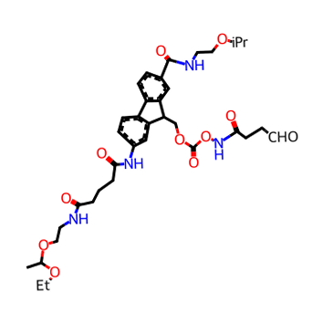 CCOC(C)OCCNC(=O)CCCC(=O)Nc1ccc2c(c1)C(COC(=O)ONC(=O)CCC=O)c1cc(C(=O)NCCOC(C)C)ccc1-2